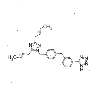 C/C=C/Cc1nc(C/C=C/C)n(Cc2ccc(Cc3cccc(-c4nnn[nH]4)c3)cc2)n1